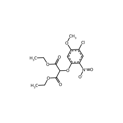 CCOC(=O)C(Oc1cc(OC)c(Cl)cc1[N+](=O)[O-])C(=O)OCC